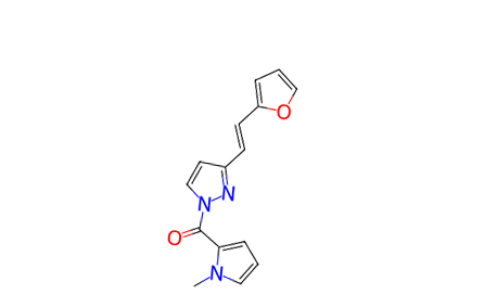 Cn1cccc1C(=O)n1ccc(/C=C/c2ccco2)n1